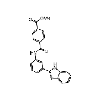 COC(=O)c1ccc(C(=O)Nc2cccc(-c3nc4ccccc4[nH]3)c2)cc1